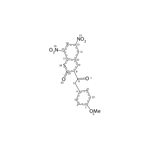 COc1ccc(CC(=O)c2cc3cc([N+](=O)[O-])cc([N+](=O)[O-])c3sc2=O)cc1